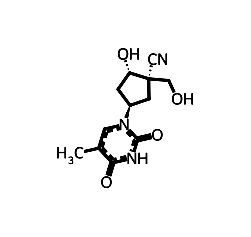 Cc1cn([C@H]2C[C@H](O)[C@@](C#N)(CO)C2)c(=O)[nH]c1=O